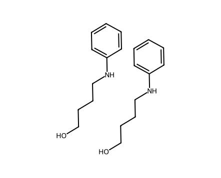 OCCCCNc1ccccc1.OCCCCNc1ccccc1